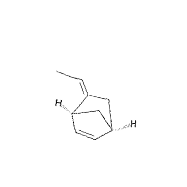 C/C=C1/C[C@H]2C=C[C@@H]1C2